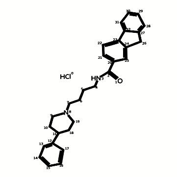 Cl.O=C(NCCCCN1CCC(c2ccccc2)CC1)c1ccc2c(c1)Cc1ccccc1-2